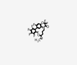 COC(=O)CCCN1C(=O)C(F)(F)Oc2cc(F)c(-c3c(F)c(F)c(F)c(F)c3F)cc21